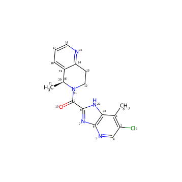 Cc1c(Cl)cnc2nc(C(=O)N3CCc4ncccc4[C@@H]3C)[nH]c12